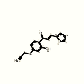 C#CCOc1ccc(C(=O)C=Cc2cccs2)c(O)c1